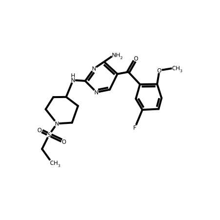 CCS(=O)(=O)N1CCC(Nc2ncc(C(=O)c3cc(F)ccc3OC)c(N)n2)CC1